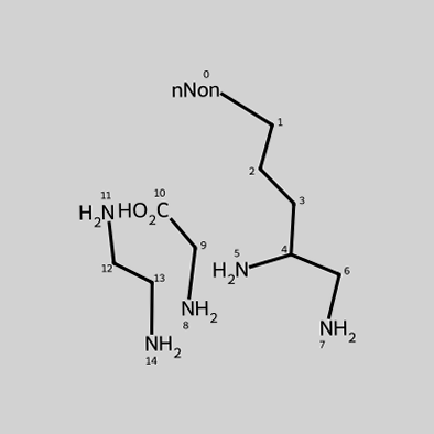 CCCCCCCCCCCCC(N)CN.NCC(=O)O.NCCN